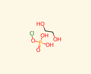 O=P(O)(O)OCl.OCCO